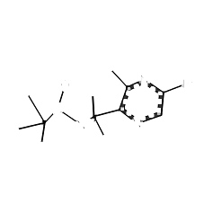 Cc1nc(Br)cnc1C(C)(C)N[S+]([O-])C(C)(C)C